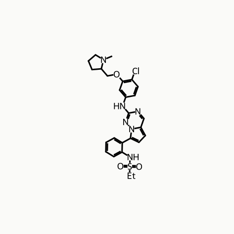 CCS(=O)(=O)Nc1ccccc1-c1ccc2cnc(Nc3ccc(Cl)c(OCC4CCCN4C)c3)nn12